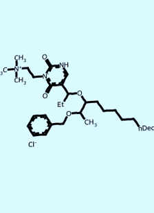 CCCCCCCCCCCCCCCC(OC(CC)c1c[nH]c(=O)n(CC[N+](C)(C)C)c1=O)C(C)OCc1ccccc1.[Cl-]